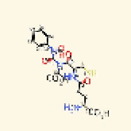 NC(CCC(=O)NC(CS)C(=O)N(CC(=O)O)C(=O)N(O)c1ccccc1)C(=O)O